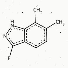 Cc1ccc2c(F)n[nH]c2c1C